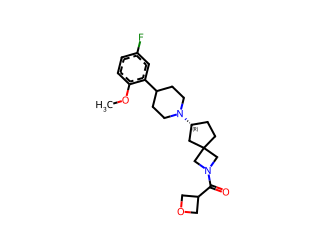 COc1ccc(F)cc1C1CCN([C@@H]2CCC3(C2)CN(C(=O)C2COC2)C3)CC1